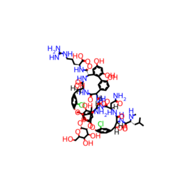 CN[C@H](CC(C)C)C(=O)N[C@H]1C(=O)N[C@@H](CC(N)=O)C(=O)N[C@H]2C(=O)N[C@H]3C(=O)N[C@H](C(=O)N[C@H](C(=O)N[C@@H](CCCNC(=N)N)C(=O)O)c4cc(O)cc(O)c4-c4cc3ccc4O)[C@H](O)c3ccc(c(Cl)c3)Oc3cc2cc(c3O[C@H]2OC(CO)C(O)C(O)[C@H]2O[C@H]2CC(C)(N)C(O)[C@H](C)O2)Oc2ccc(cc2Cl)[C@H]1O